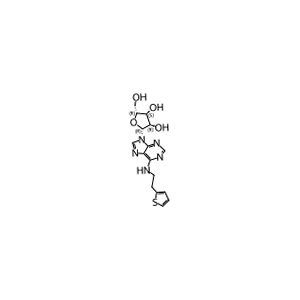 OC[C@H]1O[C@@H](n2cnc3c(NCCc4cccs4)ncnc32)[C@H](O)[C@@H]1O